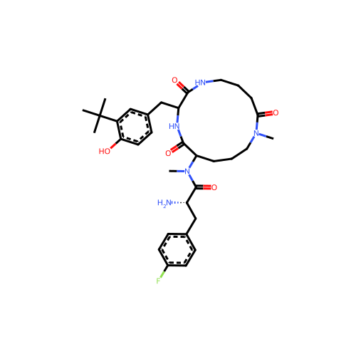 CN1CCCC(N(C)C(=O)[C@@H](N)Cc2ccc(F)cc2)C(=O)NC(Cc2ccc(O)c(C(C)(C)C)c2)C(=O)NCCCC1=O